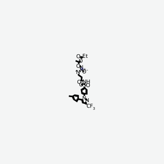 CCC(=O)OC(C)O/N=[N+](/[O-])N(C)CCC(=O)NS(=O)(=O)c1ccc(-n2nc(C(F)(F)F)cc2-c2ccc(C)cc2)cc1